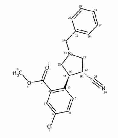 COC(=O)c1cc(Cl)ccc1[C@H]1CN(Cc2ccccc2)C[C@@H]1C#N